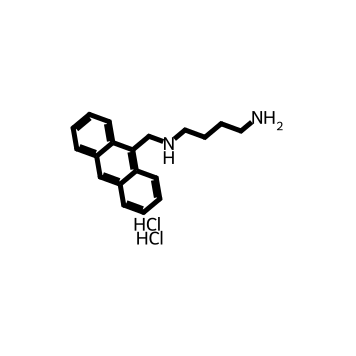 Cl.Cl.NCCCCNCc1c2ccccc2cc2ccccc12